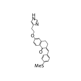 CSc1ccc(/C=C2/CCc3cc(OCCc4c[nH]cn4)ccc3C2=O)cc1